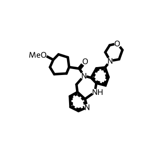 COC1CCCC(C(=O)N2Cc3cccnc3Nc3ccc(N4CCOCC4)cc32)CC1